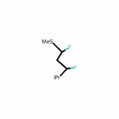 CSC(F)CC(F)C(C)C